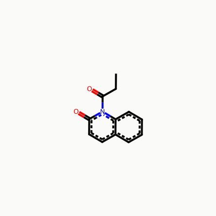 CCC(=O)n1c(=O)ccc2ccccc21